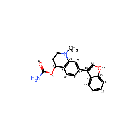 CN1CCC(OC(N)=O)c2ccc(-c3coc4ccccc34)cc21